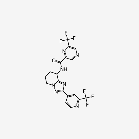 O=C(NC1CCCn2nc(-c3ccnc(C(F)(F)F)c3)nc21)c1cncc(C(F)(F)F)n1